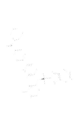 CC(C)(c1nc2cncnc2[nH]1)[C@@H]1c2ccc(-c3ccc(C(=O)N4CCOCC4)cc3)nc2Oc2c(F)cccc21